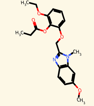 CCOc1cccc(OCc2nc3ccc(OC)cc3n2C)c1OC(=O)CC